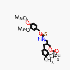 COCOc1ccc(COC(=S)NCC(COC(=O)C(C)(C)C)Cc2ccc(C)c(C)c2)cc1OC